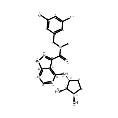 CN(Cc1cc(F)cc(Cl)c1)C(=O)c1n[nH]c2ncnc(N[C@@H]3CC[C@@H](O)[C@H]3O)c12